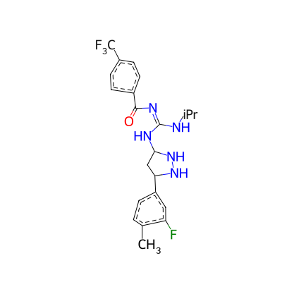 Cc1ccc(C2CC(N/C(=N\C(=O)c3ccc(C(F)(F)F)cc3)NC(C)C)NN2)cc1F